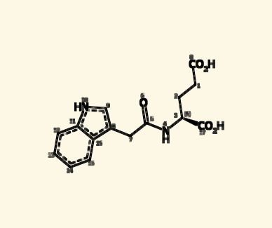 O=C(O)CC[C@H](NC(=O)Cc1c[nH]c2ccccc12)C(=O)O